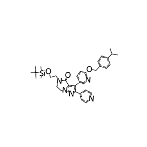 CC(C)c1ccc(COc2ccc(-c3c(-c4ccncc4)nn4c3C(=O)N(CCO[Si](C)(C)C(C)(C)C)CC4)cn2)cc1